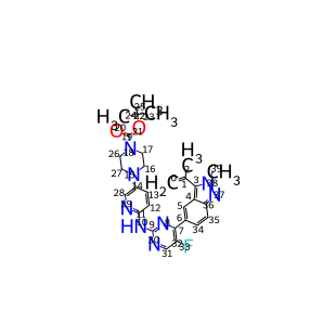 C=C(C)c1c2cc(-c3nc(Nc4ccc(N5CCN(C(=O)OC(C)(C)C)CC5)cn4)ncc3F)ccc2nn1C